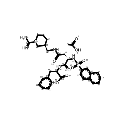 CC(=O)O.N=C(N)N1CCC[C@@H](CNC(=O)C[C@H](NS(=O)(=O)c2ccc3ccccc3c2)C(=O)N[C@H](Cc2ccccc2)C(=O)O)C1